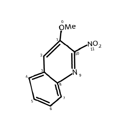 COc1cc2ccccc2nc1[N+](=O)[O-]